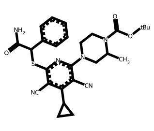 CC1CN(c2nc(SC(C(N)=O)c3ccccc3)c(C#N)c(C3CC3)c2C#N)CCN1C(=O)OC(C)(C)C